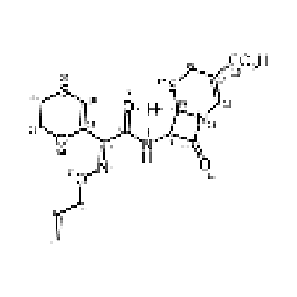 C=CCON=C(C(=O)NC1C(=O)N2C=C(C(=O)O)CS[C@H]12)C1=CSCCO1